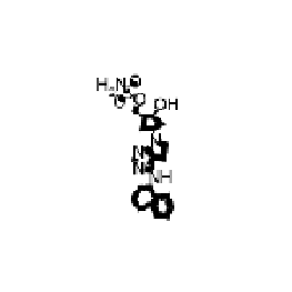 NS(=O)(=O)OC[C@@H]1C[C@@H](n2ccc3c(N[C@H]4CCCc5ccccc54)ncnc32)C[C@@H]1O